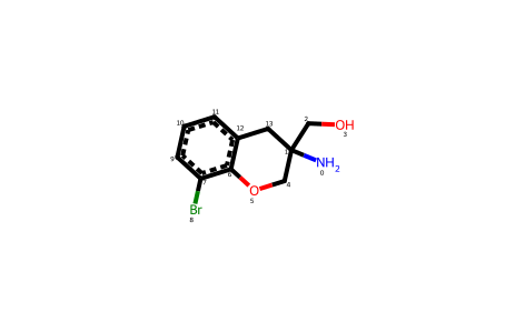 NC1(CO)COc2c(Br)cccc2C1